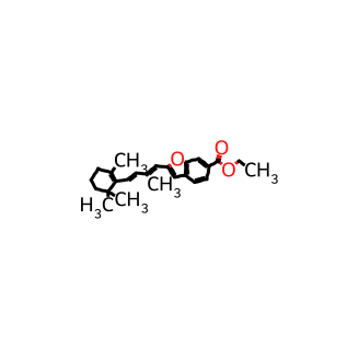 CCOC(=O)c1ccc2cc(/C=C(C)/C=C/C3=C(C)CCCC3(C)C)oc2c1